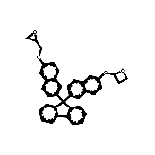 c1ccc2c(c1)-c1ccccc1C2(c1ccc2cc(OCC3CO3)ccc2c1)c1ccc2cc(OC3CCO3)ccc2c1